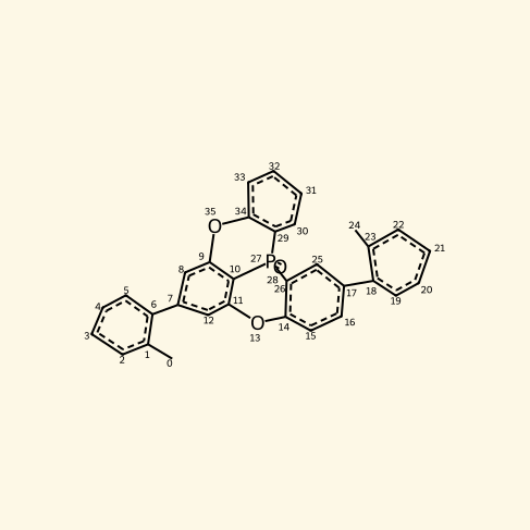 Cc1ccccc1-c1cc2c3c(c1)Oc1ccc(-c4ccccc4C)cc1P3(=O)c1ccccc1O2